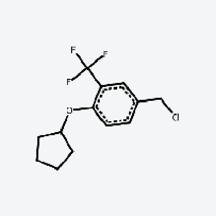 FC(F)(F)c1cc(CCl)ccc1OC1CCCC1